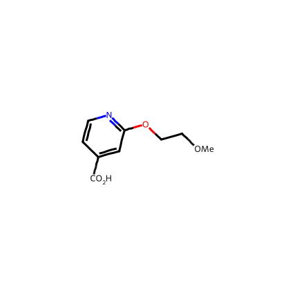 COCCOc1cc(C(=O)O)ccn1